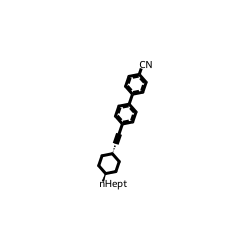 CCCCCCC[C@H]1CC[C@H](C#Cc2ccc(-c3ccc(C#N)cc3)cc2)CC1